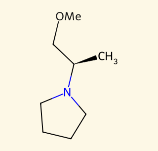 COC[C@@H](C)N1CCCC1